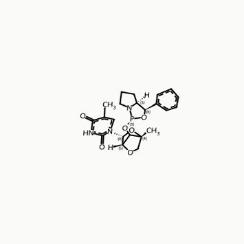 Cc1cn([C@@H]2O[C@]3(C)CO[C@H]2C3O[P@@]2O[C@H](c3ccccc3)[C@@H]3CCCN32)c(=O)[nH]c1=O